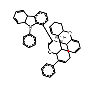 C1=CCC2C(=C1)OC1CCC=C[C@@H]1[C@@]21C2CC(c3cccc4c3N(c3ccccc3)C3C=CC=CC43)C=CC2OC2C(c3ccccc3)=CCCC21